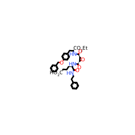 CCOC(=O)[C@H](Cc1ccc(OCc2ccccc2)cc1)NC(=O)[C@H]1O[C@@H]1C(=O)N[C@H](CCCC(=O)O)C(=O)NCCc1ccccc1